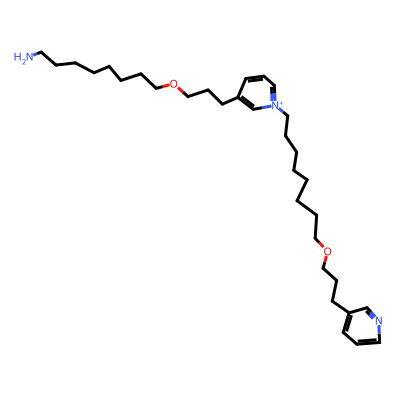 NCCCCCCCCOCCCc1ccc[n+](CCCCCCCCOCCCc2cccnc2)c1